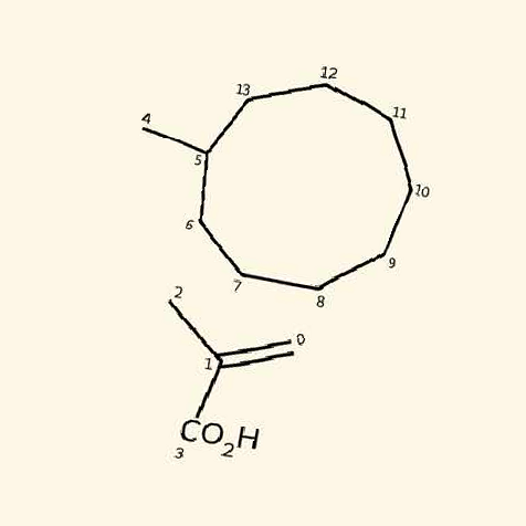 C=C(C)C(=O)O.CC1CCCCCCCC1